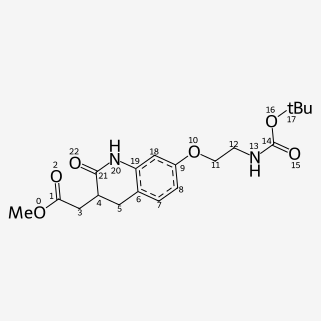 COC(=O)CC1Cc2ccc(OCCNC(=O)OC(C)(C)C)cc2NC1=O